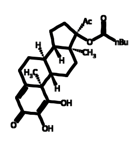 CCCCC(=O)O[C@]1(C(C)=O)CC[C@H]2[C@@H]3CCC4=CC(=O)C(O)=C(O)[C@]4(C)[C@H]3CC[C@@]21C